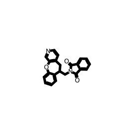 O=C1c2ccccc2C(=O)N1CC1Cc2ccncc2Oc2ccccc21